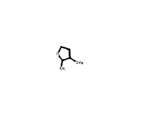 COC1CCOC1N